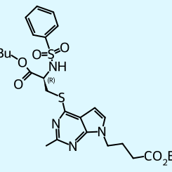 CCOC(=O)CCCn1ccc2c(SC[C@H](NS(=O)(=O)c3ccccc3)C(=O)OC(C)(C)C)nc(C)nc21